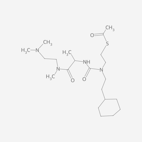 CC(=O)SCCN(CCC1CCCCC1)C(=O)NC(C)C(=O)N(C)CCN(C)C